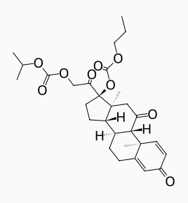 CCCOC(=O)O[C@]1(C(=O)COC(=O)OC(C)C)CC[C@H]2[C@@H]3CCC4=CC(=O)C=C[C@]4(C)[C@H]3C(=O)C[C@@]21C